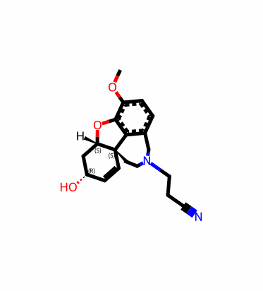 COc1ccc2c3c1O[C@H]1C[C@@H](O)C=C[C@@]31CCN(CCC#N)C2